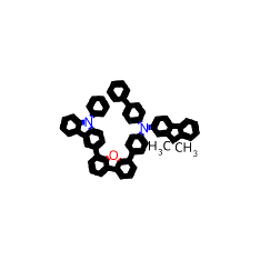 CC1(C)c2ccccc2-c2ccc(N(c3ccc(-c4ccccc4)cc3)c3ccc(-c4cccc5c4oc4c(-c6ccc7c(c6)c6ccccc6n7-c6ccccc6)cccc45)cc3)cc21